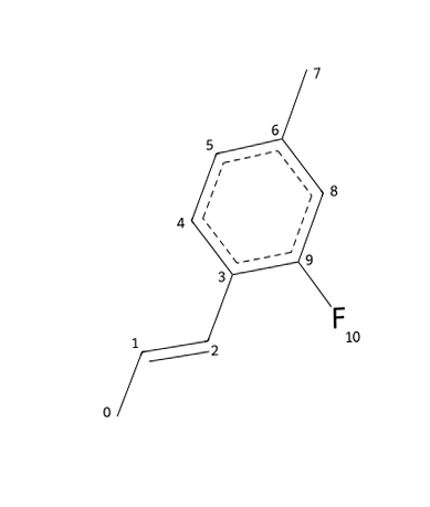 CC=Cc1ccc(C)cc1F